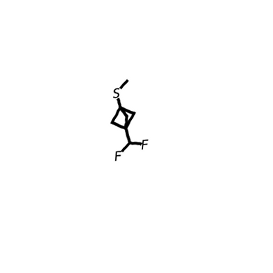 CSC12CC(C(F)F)(C1)C2